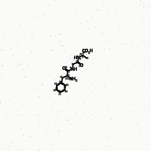 C[C@H](NC(=O)CNC(=O)[C@@H](N)Cc1ccccc1)C(=O)O